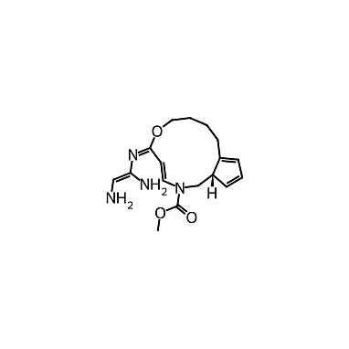 COC(=O)N1/C=C/C(=N\C(N)=C\N)OCCCCC2=CC=C[C@@H]2C1